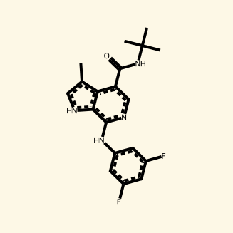 Cc1c[nH]c2c(Nc3cc(F)cc(F)c3)ncc(C(=O)NC(C)(C)C)c12